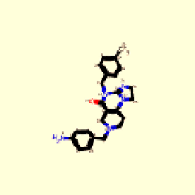 Nc1ccc(CN2CCC3=C(C2)C(=O)N(Cc2ccc(C(F)(F)F)cc2)C2=NCCN23)cc1